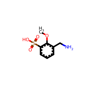 COc1c(CN)cccc1S(=O)(=O)O